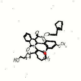 COc1ccc(C2C(C(=O)NOCc3ccccc3)c3ccccc3C(=O)N2C2CCCCC2NCCO)c(OC)c1